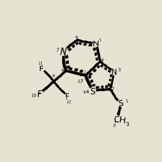 CSc1nc2ncnc(C(F)(F)F)c2s1